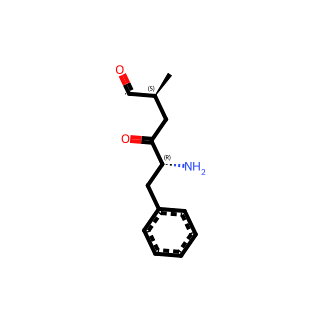 C[C@H]([C]=O)CC(=O)[C@H](N)Cc1ccccc1